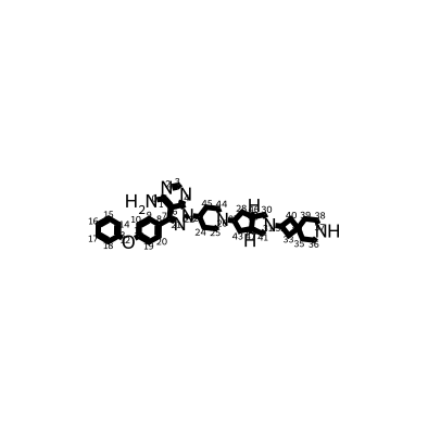 Nc1ncnc2c1c(-c1ccc(Oc3ccccc3)cc1)nn2C1CCN(C2C[C@@H]3CN(C4CC5(CCNCC5)C4)C[C@@H]3C2)CC1